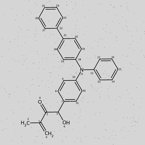 C=C(C)C(=O)C(O)c1ccc(N(c2ccccc2)c2ccc(-c3ccccc3)cc2)cc1